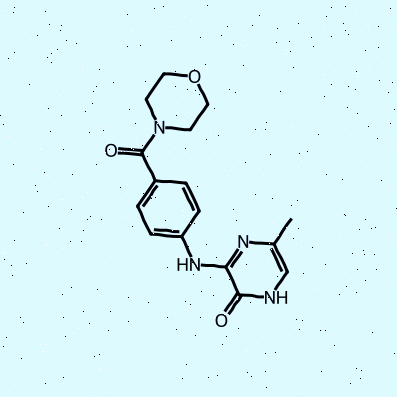 Cc1c[nH]c(=O)c(Nc2ccc(C(=O)N3CCOCC3)cc2)n1